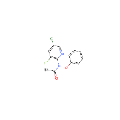 CCC(=O)N(Oc1ccccc1)c1ncc(Cl)cc1F